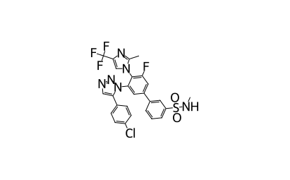 CNS(=O)(=O)c1cccc(-c2cc(F)c(-n3cc(C(F)(F)F)nc3C)c(-n3nncc3-c3ccc(Cl)cc3)c2)c1